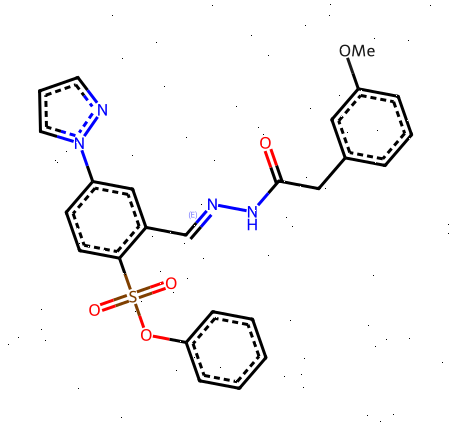 COc1cccc(CC(=O)N/N=C/c2cc(-n3cccn3)ccc2S(=O)(=O)Oc2ccccc2)c1